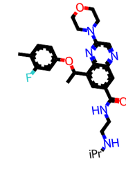 Cc1ccc(OC(C)c2cc(C(=O)NCCNC(C)C)cc3ncc(N4CCOCC4)nc23)cc1F